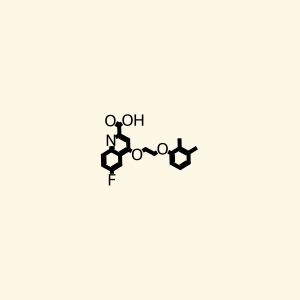 Cc1cccc(OCCOc2cc(C(=O)O)nc3ccc(F)cc23)c1C